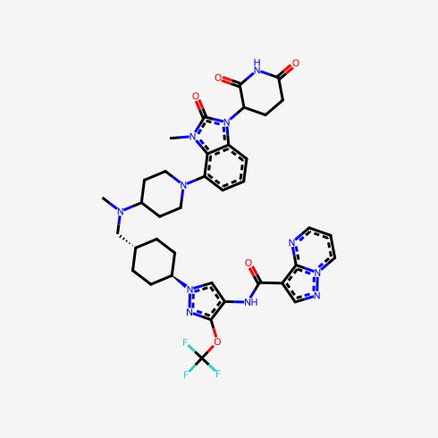 CN(C[C@H]1CC[C@H](n2cc(NC(=O)c3cnn4cccnc34)c(OC(F)(F)F)n2)CC1)C1CCN(c2cccc3c2n(C)c(=O)n3C2CCC(=O)NC2=O)CC1